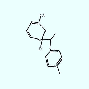 CC(c1ccc(F)cc1)C1(Cl)[CH]C(Cl)=CC=C1